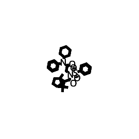 CC12CCC(C1)C(C)(C)C2C(=O)N(CC(=O)N(c1ccccc1)C1CCCCC1)S(=O)(=O)c1ccccc1